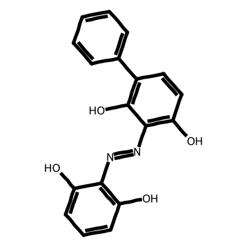 Oc1cccc(O)c1N=Nc1c(O)ccc(-c2ccccc2)c1O